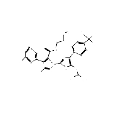 COCCNC(=O)c1c(-c2cccc(F)c2)c(C)nn1-c1nc(-c2ccc(C(F)(F)F)cc2)c(SC(C)C)s1